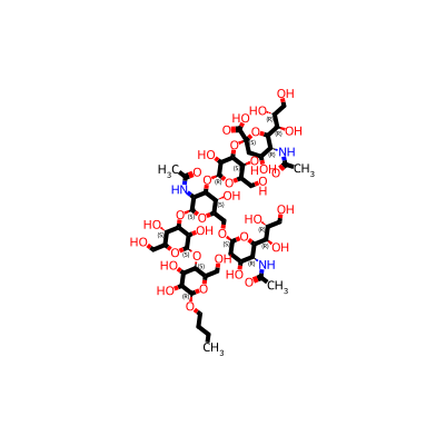 CCCCO[C@@H]1OC(CO)[C@@H](O[C@@H]2OC(CO)[C@H](O)C(O[C@@H]3OC(CO[C@@H]4CC(O)[C@@H](NC(C)=O)C([C@H](O)[C@H](O)CO)O4)[C@@H](O)C(O[C@@H]4OC(CO)[C@H](O)C(O[C@]5(C(=O)O)CC(O)[C@@H](NC(C)=O)C([C@H](O)[C@H](O)CO)O5)C4O)C3NC(C)=O)C2O)C(O)C1O